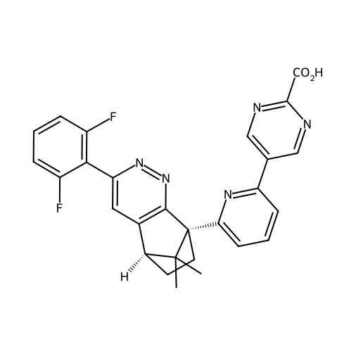 CC1(C)[C@H]2CC[C@]1(c1cccc(-c3cnc(C(=O)O)nc3)n1)c1nnc(-c3c(F)cccc3F)cc12